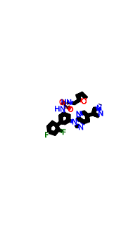 Cn1cc(-c2cnc3c(c2)ncn3-c2cc(NS(=O)(=O)NCc3ccco3)cc(-c3ccc(F)cc3F)c2)cn1